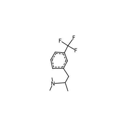 CC(Cc1cccc(C(F)(F)F)c1)N(C)C